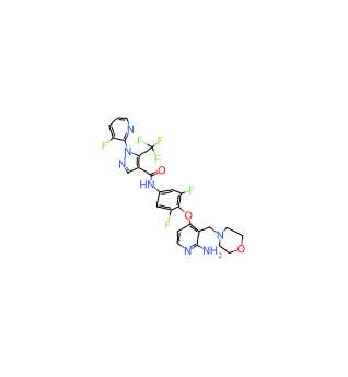 Nc1nccc(Oc2c(F)cc(NC(=O)c3cnn(-c4ncccc4F)c3C(F)(F)F)cc2F)c1CN1CCOCC1